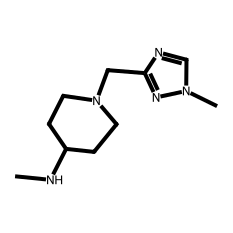 CNC1CCN(Cc2ncn(C)n2)CC1